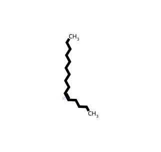 CCCC/C=C\CCCCCCCCC